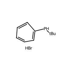 Br.CC(C)(C)Pc1ccccc1